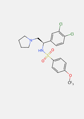 O=S(=O)(N[C@@H](CN1CCCC1)c1ccc(Cl)c(Cl)c1)c1ccc(OC(F)(F)F)cc1